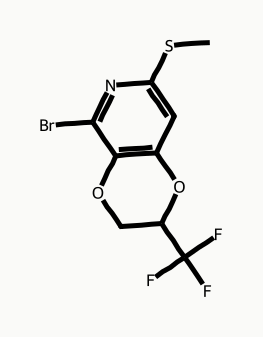 CSc1cc2c(c(Br)n1)OCC(C(F)(F)F)O2